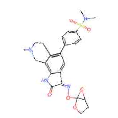 CN1CCc2c(-c3ccc(S(=O)(=O)N(C)C)cc3)cc3c(c2C1)NC(=O)C3=NOC12OCCC1O2